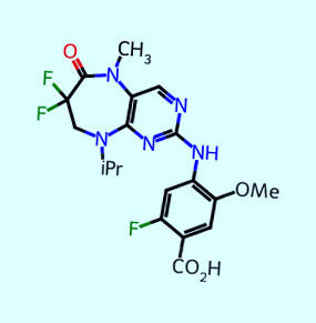 COc1cc(C(=O)O)c(F)cc1Nc1ncc2c(n1)N(C(C)C)CC(F)(F)C(=O)N2C